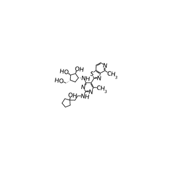 Cc1nc(NCCC2(O)CCCC2)nc(N[C@@H]2C[C@H](CO)[C@@H](O)[C@H]2O)c1-c1nc2c(C)nccc2s1